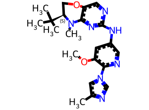 COc1cc(Nc2ncc3c(n2)N(C)[C@@H](C(C)(C)C)CO3)cnc1-n1cnc(C)c1